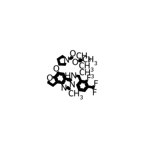 Cc1nc(N[C@H](C)c2cccc(C(F)F)c2F)c2cc(O[C@H]3CCN(C(=O)OC(C)(C)C)C3)c3c(c2n1)CCO3